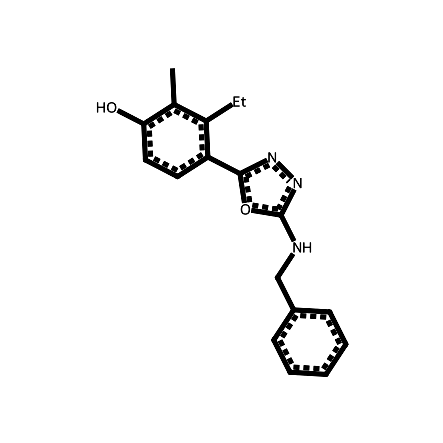 CCc1c(-c2nnc(NCc3ccccc3)o2)ccc(O)c1C